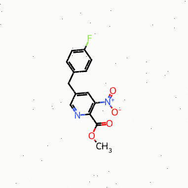 COC(=O)c1ncc(Cc2ccc(F)cc2)cc1[N+](=O)[O-]